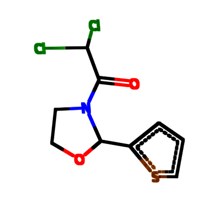 O=C(C(Cl)Cl)N1CCOC1c1cccs1